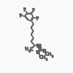 CO[SiH](OC)OC(C)CCCCCCc1cc(F)c(F)c(F)c1F